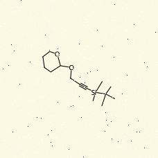 CC(C)(C)[Si](C)(C)C#CCOC1CCCCO1